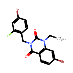 CCOC(=O)Cn1c(=O)n(Cc2ccc(Br)cc2F)c(=O)c2ccc(Br)cc21